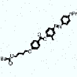 CCCc1ccc(/N=N/c2ccc(OC(=O)c3ccc(OCCCCOC(=O)C(C)CC)cc3)c(C)c2)cc1